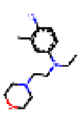 CCN(CCN1CCOCC1)c1ccc(N)c(C)c1